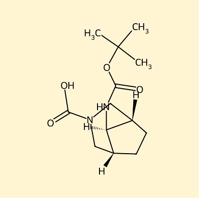 CC(C)(C)OC(=O)N[C@@H]1[C@@H]2CC[C@H]1CN(C(=O)O)C2